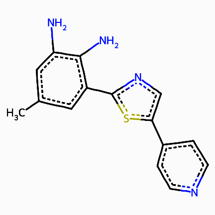 Cc1cc(N)c(N)c(-c2ncc(-c3ccncc3)s2)c1